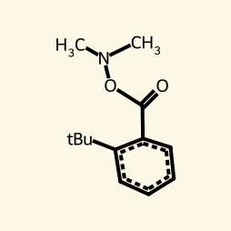 CN(C)OC(=O)c1ccccc1C(C)(C)C